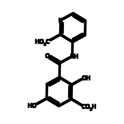 O=C(O)c1cc(O)cc(C(=O)Nc2cccnc2C(=O)O)c1O